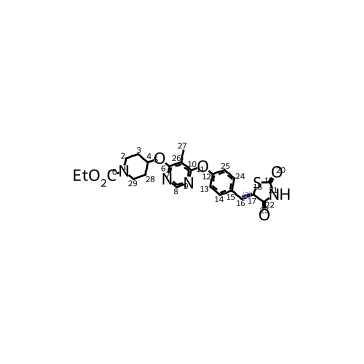 CCOC(=O)N1CCC(Oc2ncnc(Oc3ccc(/C=C4\SC(=O)NC4=O)cc3)c2C)CC1